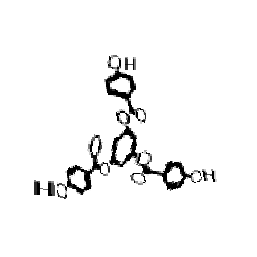 O=C(OC1CC(OC(=O)c2ccc(O)cc2)CC(OC(=O)c2ccc(O)cc2)C1)c1ccc(O)cc1